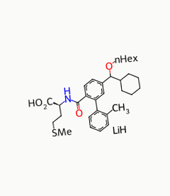 CCCCCCOC(c1ccc(C(=O)N[C@@H](CCSC)C(=O)O)c(-c2ccccc2C)c1)C1CCCCC1.[LiH]